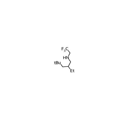 CCC(CNCC(F)(F)F)CC(C)(C)C